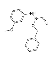 COc1cccc(NN(C=O)OCc2ccccc2)c1